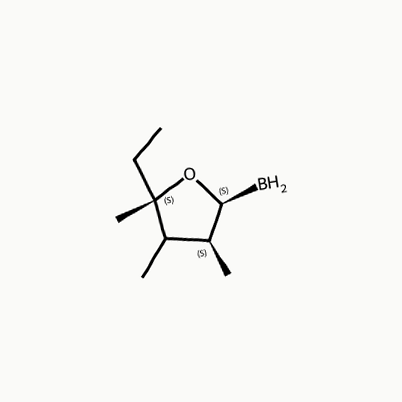 B[C@@H]1O[C@@](C)(CC)C(C)[C@@H]1C